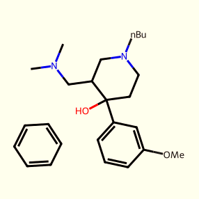 CCCCN1CCC(O)(c2cccc(OC)c2)C(CN(C)C)C1.c1ccccc1